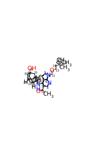 CC(=O)c1cnc2c(ccn2COCC[Si](C)(C)C)c1N[C@H]1[C@@H]2C[C@@H]3C[C@H]1C[C@@](O)(C3)C2